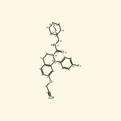 C#CCOc1ccc2c(c1)[C@H](c1ccc(F)cc1)N(C(=O)NCC13CCN(CC1)CC3)CC2